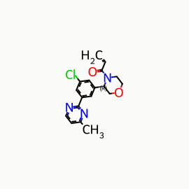 C=CC(=O)N1CCOC[C@H]1c1cc(Cl)cc(-c2nccc(C)n2)c1